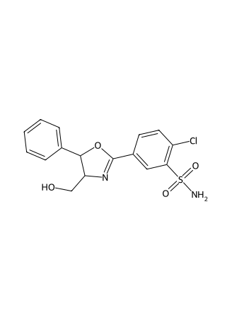 NS(=O)(=O)c1cc(C2=NC(CO)C(c3ccccc3)O2)ccc1Cl